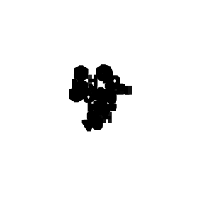 C=C[C@@H]1C[C@]1(NC(=O)[C@@H]1C[C@@H](NC(=O)c2cc(-c3ccccc3)nc3ccccc23)CN1C(=O)[C@@H](CC(=O)N1CCCCCC1)C(C)(C)C)C(=O)NS(=O)(=O)C1CC1